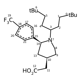 CC(C)(C)CCC(CCC(C)(C)C)N1CC[C@@H](CC(=O)O)C[C@H]1c1ccc(C(F)(F)F)cc1